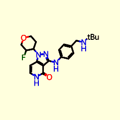 CC(C)(C)NCc1ccc(Nc2nn(C3CCOCC3F)c3cc[nH]c(=O)c23)cc1